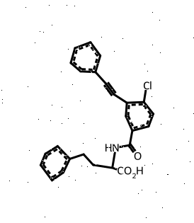 O=C(NC(CCc1ccccc1)C(=O)O)c1ccc(Cl)c(C#Cc2ccccc2)c1